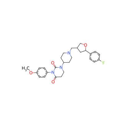 COc1ccc(N2C(=O)CCN(C3CCN(CC4COC(c5ccc(F)cc5)C4)CC3)C2=O)cc1